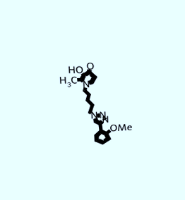 COc1ccccc1-c1cn(CCCCCn2ccc(=O)c(O)c2C)nn1